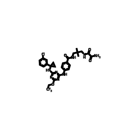 CC(C)(CNC(=O)C(N)=O)CNC(=O)c1ccc(Nc2nc(NC3(c4cccc(Cl)c4)CC3)nc(OCC(F)(F)F)n2)cc1